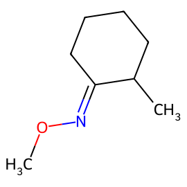 CON=C1CCCCC1C